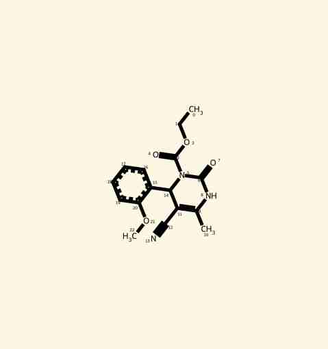 CCOC(=O)N1C(=O)NC(C)=C(C#N)C1c1ccccc1OC